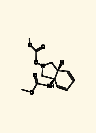 COC(=O)N[C@]12C=CC=C[C@H]1CN(OC(=O)OC)C2